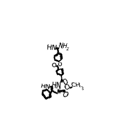 CCOC(=O)[C@H](Cc1c[nH]c2ccccc12)NC(=O)c1ccc(C(=O)Oc2ccc(C(=N)N)cc2)cc1